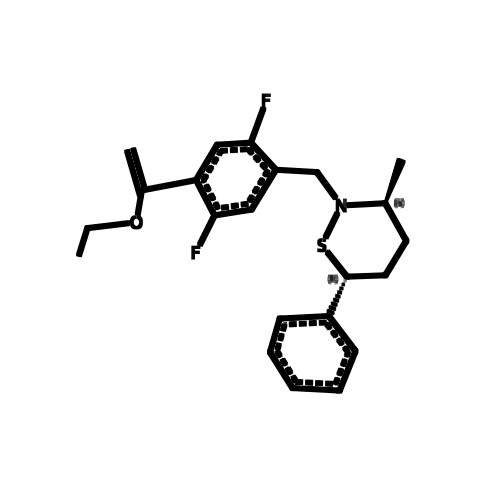 C=C(OCC)c1cc(F)c(CN2S[C@@H](c3ccccc3)CC[C@@H]2C)cc1F